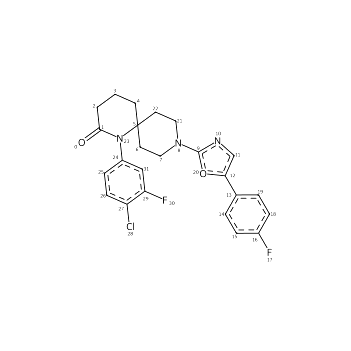 O=C1CCCC2(CCN(c3ncc(-c4ccc(F)cc4)o3)CC2)N1c1ccc(Cl)c(F)c1